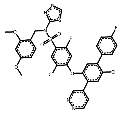 COc1ccc(CN(c2nncs2)S(=O)(=O)c2cc(Cl)c(Oc3cc(-c4ccc(F)cc4)c(Cl)cc3-c3ccnnc3)cc2F)c(OC)c1